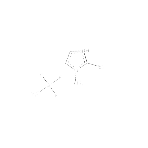 CCc1[nH]cc[n+]1C.F[B-](F)(F)C(F)(F)F